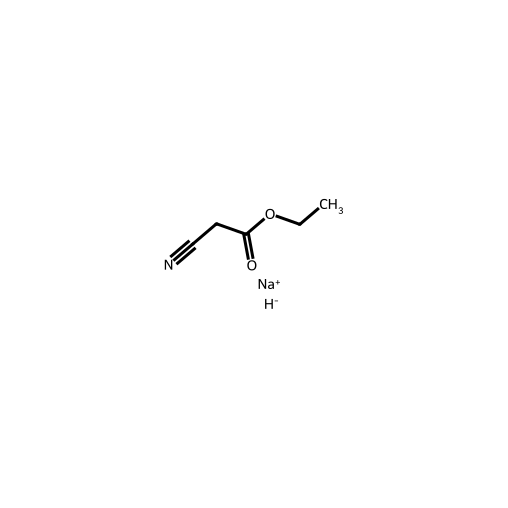 CCOC(=O)CC#N.[H-].[Na+]